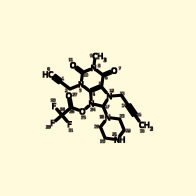 C#CCn1c2c(c(=O)n(C)c1=O)N(CC#CC)C(N1CCNCC1)N2OC(=O)C(F)(F)F